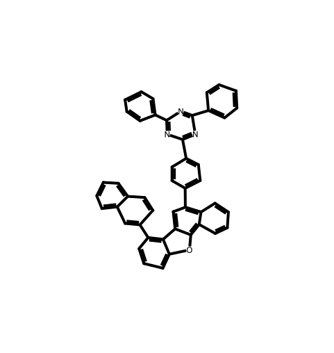 c1ccc(-c2nc(-c3ccccc3)nc(-c3ccc(-c4cc5c(oc6cccc(-c7ccc8ccccc8c7)c65)c5ccccc45)cc3)n2)cc1